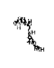 Cc1nc(OCc2cc[nH]n2)cc2c1CC(CNCCC1CN(c3cnc4c(n3)NC(=O)CO4)C(=O)O1)C2